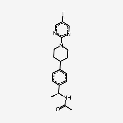 CC(=O)N[C@@H](C)c1ccc(C2CCN(c3ncc(I)cn3)CC2)cc1